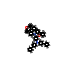 c1ccc(-c2ccc(N(c3ccc(-c4ccccc4)cc3)c3ccc(N(c4cccc5c4-c4ccccc4C54c5ccccc5Oc5ccccc54)c4cccc5c4oc4ccccc45)cc3)cc2)cc1